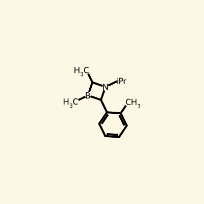 CB1C(C)N(C(C)C)C1c1ccccc1C